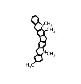 Cc1ccc2c(c1)Cc1cc3c(cc1N2C)Cc1c-3cc2c(c1C)N(C)c1ccccc1C2